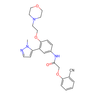 Cn1nccc1-c1cc(NC(=O)COc2ccccc2C#N)ccc1OCCN1CCOCC1